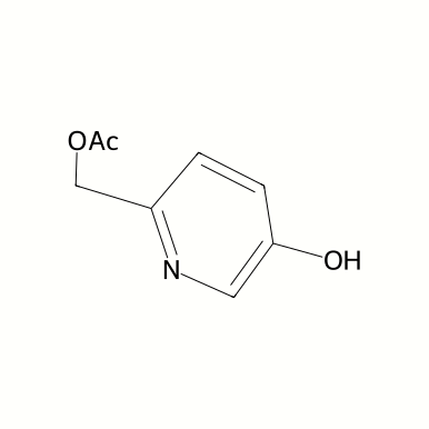 CC(=O)OCc1ccc(O)cn1